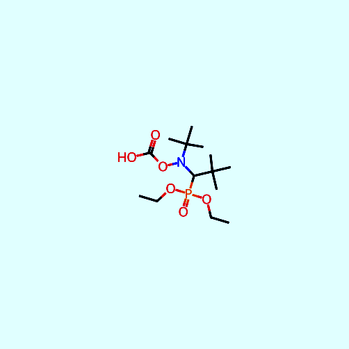 CCOP(=O)(OCC)C(N(OC(=O)O)C(C)(C)C)C(C)(C)C